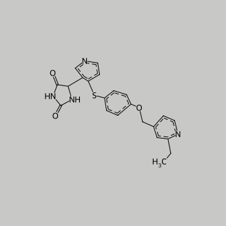 CCc1cc(COc2ccc(Sc3ccncc3C3NC(=O)NC3=O)cc2)ccn1